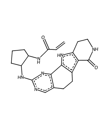 C=CC(=O)NC1CCCC1Nc1ncc2c(n1)-c1[nH]c3c(c1CC2)C(=O)NCC3